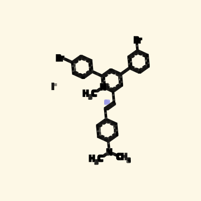 CN(C)c1ccc(/C=C/c2cc(-c3cccc(Br)c3)cc(-c3ccc(Br)cc3)[n+]2C)cc1.[I-]